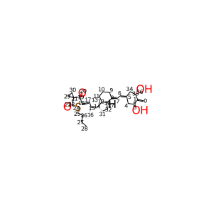 C=C1[C@H](O)CC(=C/C=C2\CCC[C@]3(C)[C@@H]([C@H](C)/C=C/C(=O)C4(C(=O)SCCCC)CC4)CC[C@@H]23)C[C@H]1O